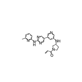 C=CC(=O)N1CC[C@H](Nc2cncc(-c3cnc(Nc4cccc(C)n4)nc3)c2)C1